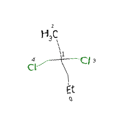 [CH2]CC(C)(Cl)Cl